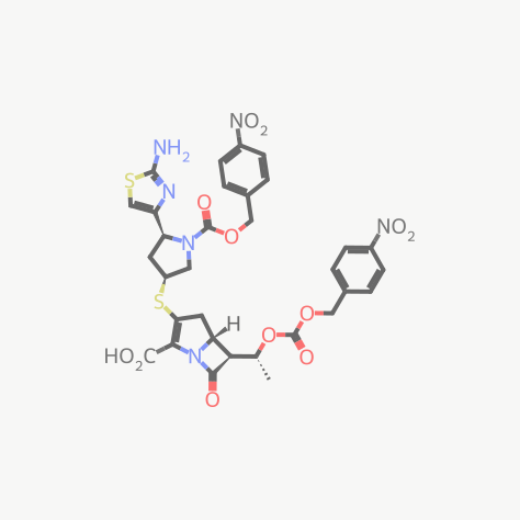 C[C@@H](OC(=O)OCc1ccc([N+](=O)[O-])cc1)[C@H]1C(=O)N2C(C(=O)O)=C(S[C@H]3C[C@@H](c4csc(N)n4)N(C(=O)OCc4ccc([N+](=O)[O-])cc4)C3)C[C@H]12